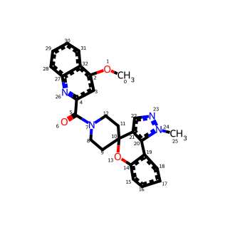 COc1cc(C(=O)N2CCC3(CC2)Oc2ccccc2-c2c3cnn2C)nc2ccccc12